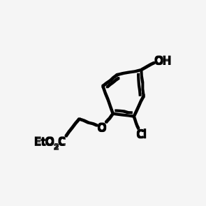 CCOC(=O)COc1ccc(O)cc1Cl